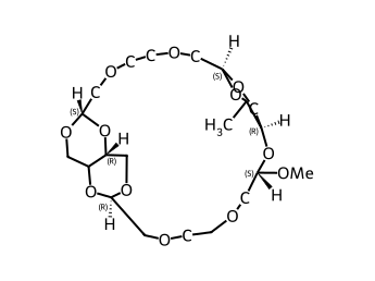 CO[C@@H]1COCCOC[C@@H]2OC[C@H]3O[C@@H](COCCOC[C@H]4OC[C@@H](O1)C(C)O4)OCC3O2